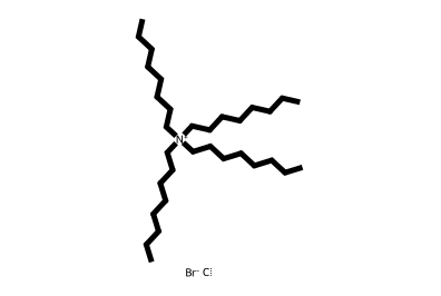 CCCCCCCC[N+](CCCCCCCC)(CCCCCCCC)CCCCCCCC.[Br-].[C]